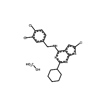 Clc1cc2c(NCc3ccc(Cl)c(Cl)c3)nc(C3CCCCC3)nc2s1.O=C(O)O